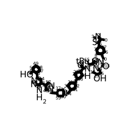 Cc1ncsc1-c1ccc(CNC(=O)[C@@H]2C[C@@H](O)CN2C(=O)[C@@H](NC(=O)c2ccc(-c3ccc(CN4CCC(Cn5cc(-c6cc(-c7ccccc7O)nnc6N)cn5)CC4)cc3)cc2)C(C)(C)C)cc1